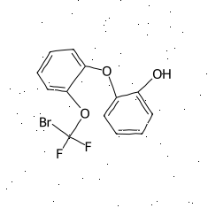 Oc1ccccc1Oc1ccccc1OC(F)(F)Br